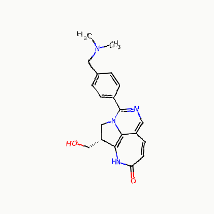 CN(C)Cc1ccc(C2=NC=C3C=CC(=O)NC4=C3N2C[C@H]4CO)cc1